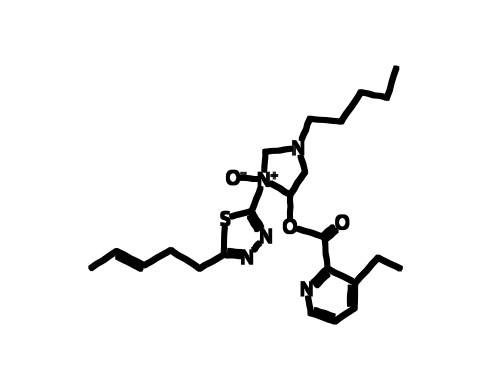 CC=CCCc1nnc([N+]2([O-])CN(CCCCC)CC2OC(=O)c2ncccc2CC)s1